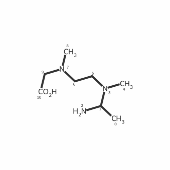 CC(N)N(C)CCN(C)CC(=O)O